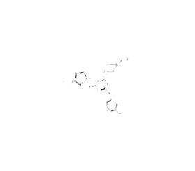 O[C@@H]1CCN(c2nc(Nc3cccc(C(F)(F)F)c3)nc(Nc3cccc(C(F)(F)F)c3)n2)C1